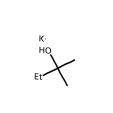 CCC(C)(C)O.[K]